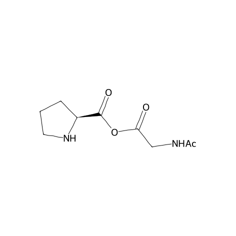 CC(=O)NCC(=O)OC(=O)[C@@H]1CCCN1